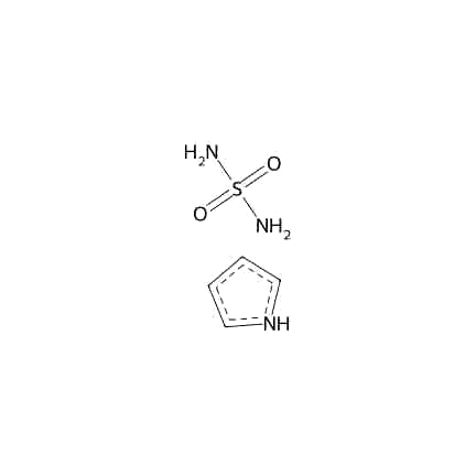 NS(N)(=O)=O.c1cc[nH]c1